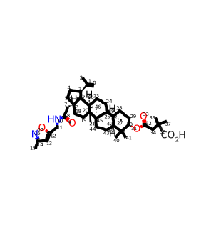 C=C(C)[C@@H]1CC[C@]2(CC(=O)NCc3cc(C)no3)CC[C@]3(C)[C@H](CC[C@@H]4[C@@]5(C)CC[C@H](OC(=O)CC(C)(C)C(=O)O)C(C)(C)[C@@H]5CC[C@]43C)[C@@H]12